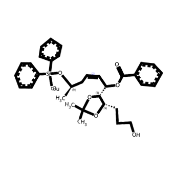 C[C@H](C/C=C\C(OC(=O)c1ccccc1)[C@H]1OC(C)(C)O[C@H]1CCCO)O[Si](c1ccccc1)(c1ccccc1)C(C)(C)C